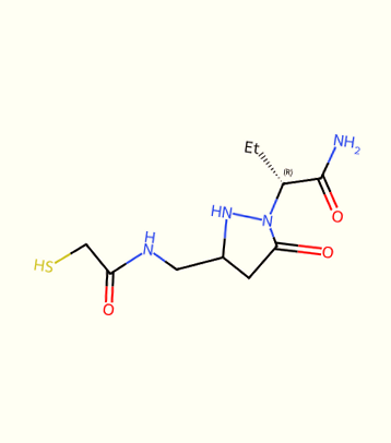 CC[C@H](C(N)=O)N1NC(CNC(=O)CS)CC1=O